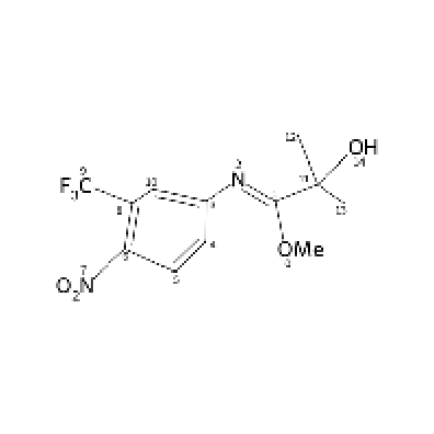 CO/C(=N\c1ccc([N+](=O)[O-])c(C(F)(F)F)c1)C(C)(C)O